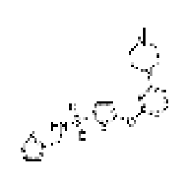 O=S(=O)(NCc1cccs1)c1ccc(Oc2cccc(N3CCNCC3)c2)s1